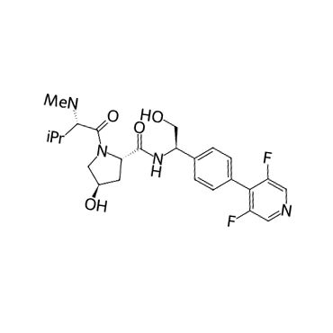 CN[C@H](C(=O)N1C[C@H](O)C[C@H]1C(=O)N[C@@H](CO)c1ccc(-c2c(F)cncc2F)cc1)C(C)C